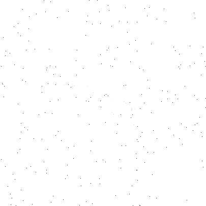 C=CC(=O)N1CC(F)(C(O)(O)n2c(=O)c(=O)n(-c3c(C)ccnc3C(C)C)c3nc(-c4cccc(Cl)c4Cl)c(Cl)cc32)C1